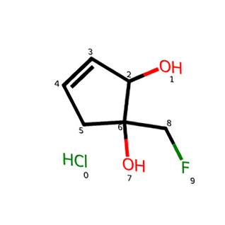 Cl.OC1C=CCC1(O)CF